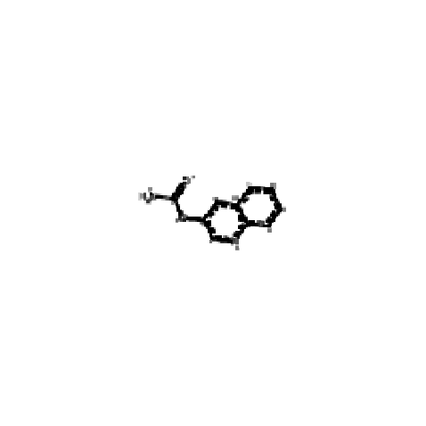 NC(=O)Oc1cnc2ccccc2c1